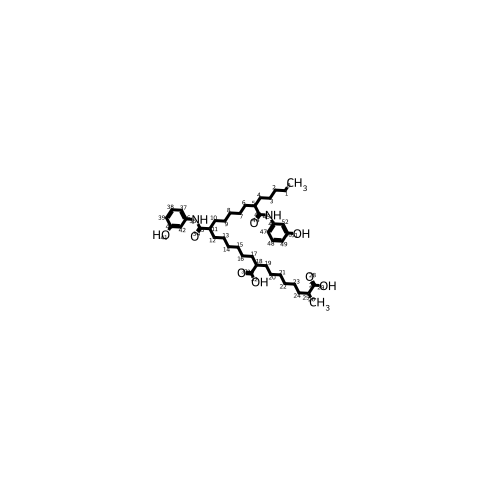 CCCCCC(CCCCCC(CCCCCCC(CCCCCCC(C)C(=O)O)C(=O)O)C(=O)Nc1cccc(O)c1)C(=O)Nc1cccc(O)c1